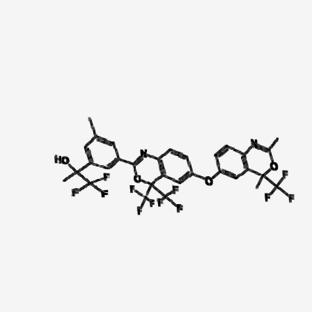 CC1=Nc2ccc(Oc3ccc4c(c3)C(C(F)(F)F)(C(F)(F)F)OC(c3cc(C)cc(C(C)(O)C(F)(F)F)c3)=N4)cc2C(C)(C(F)(F)F)O1